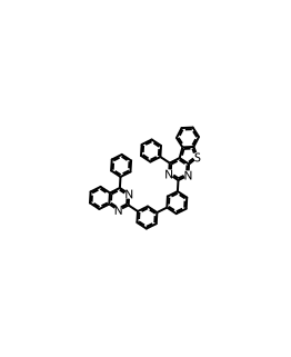 c1ccc(-c2nc(-c3cccc(-c4cccc(-c5nc(-c6ccccc6)c6c(n5)sc5ccccc56)c4)c3)nc3ccccc23)cc1